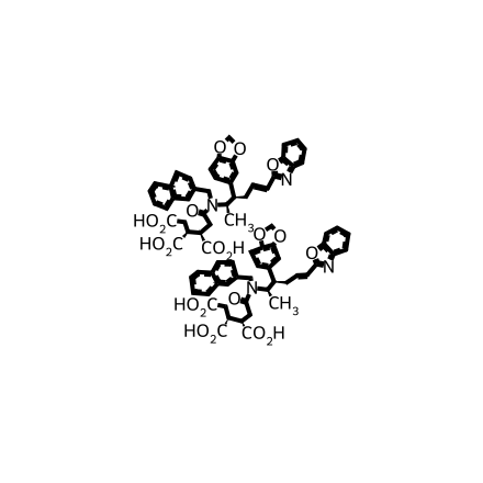 C[C@H]([C@H](CC=Cc1nc2ccccc2o1)c1ccc2c(c1)OCO2)N(Cc1ccc2ccccc2c1)C(=O)C[C@@H](C(=O)O)[C@H](CC(=O)O)C(=O)O.C[C@H]([C@H](CC=Cc1nc2ccccc2o1)c1ccc2c(c1)OCO2)N(Cc1ccc2ccccc2c1)C(=O)C[C@H](C(=O)O)[C@@H](CC(=O)O)C(=O)O